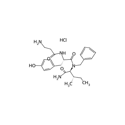 CC[C@H](C)[C@@H](C(N)=O)N(Cc1ccccc1)C(=O)[C@H](Cc1ccc(O)cc1)NC(=O)CCN.Cl